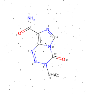 CC(=O)Nn1nnc2c(C(N)=O)ncn2c1=O